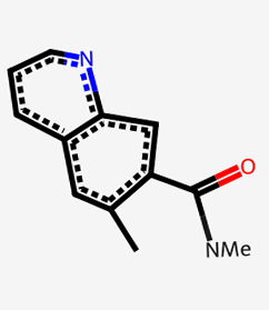 CNC(=O)c1cc2ncccc2cc1C